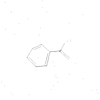 C=C([SiH3])c1ccccc1.O